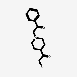 O=C(CN1CCC(C(=O)CBr)CC1)c1ccccc1